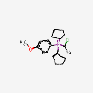 FC(F)(F)Oc1ccc([PH]([CH](Cl)[Pd])(C2CCCC2)C2CCCC2)cc1